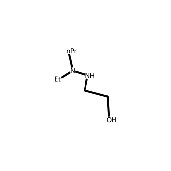 CCCN(CC)NCCO